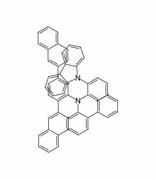 c1ccc(-c2ccccc2N(c2cc(-c3ccc4ccccc4c3)ccc2-c2ccc3ccccc3c2)c2ccccc2-n2c3ccccc3c3ccccc32)cc1